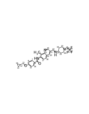 Cc1c(NC(=O)c2ccc(OCC3CC3)cc2)ccc2cc(CNC3CCN(SC(F)(F)F)CC3)cnc12